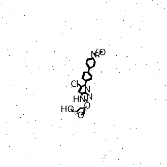 CS(C)(=O)=Nc1ccc(-c2ccc(-c3nc4nc(O[C@@H]5CO[C@H](CO)C5)[nH]c4cc3Cl)cc2)cc1